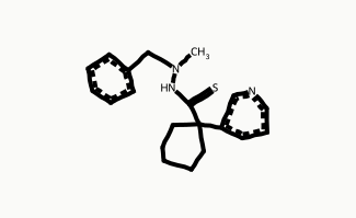 CN(Cc1ccccc1)NC(=S)C1(c2cccnc2)CCCCC1